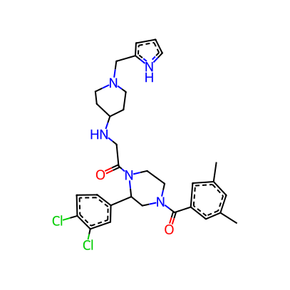 Cc1cc(C)cc(C(=O)N2CCN(C(=O)CNC3CCN(Cc4ccc[nH]4)CC3)C(c3ccc(Cl)c(Cl)c3)C2)c1